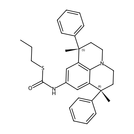 CCCSC(=O)Nc1cc2c3c(c1)[C@@](C)(c1ccccc1)CCN3CC[C@@]2(C)c1ccccc1